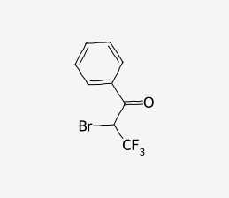 O=C(c1ccccc1)C(Br)C(F)(F)F